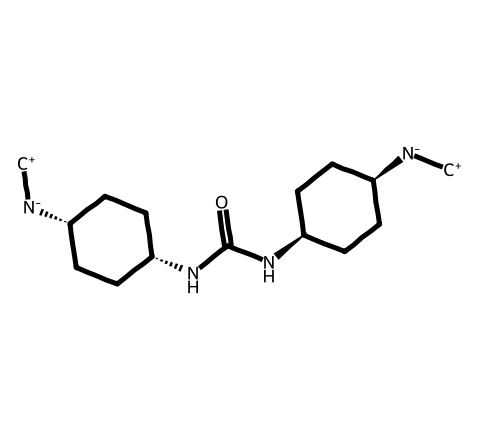 [CH2+][N-][C@H]1CC[C@@H](NC(=O)N[C@H]2CC[C@@H]([N-][CH2+])CC2)CC1